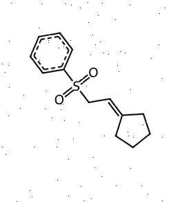 O=S(=O)(CC=C1CCCC1)c1ccccc1